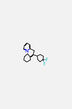 FC1(F)CCC(C(Cc2ccccn2)=C2CCCCC2)CC1